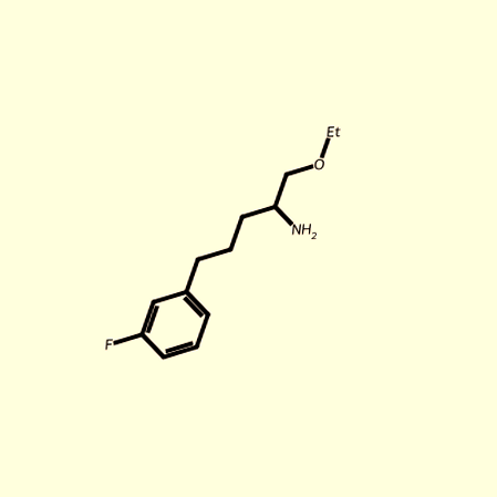 CCOCC(N)CCCc1cccc(F)c1